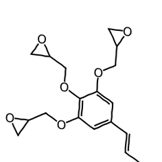 CC=Cc1cc(OCC2CO2)c(OCC2CO2)c(OCC2CO2)c1